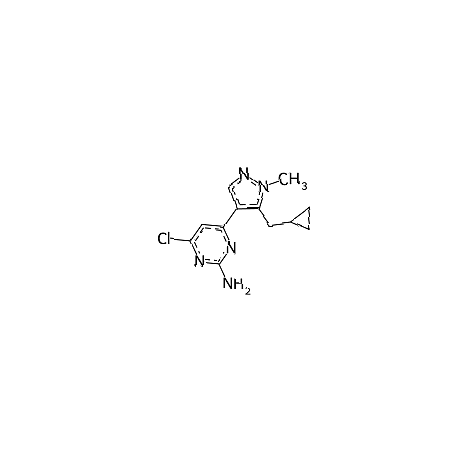 Cn1ncc(-c2cc(Cl)nc(N)n2)c1CC1CC1